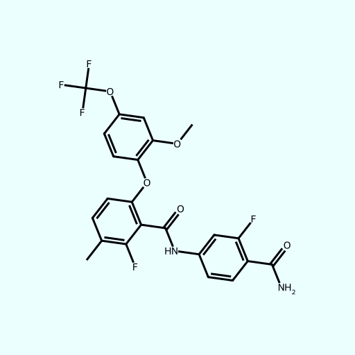 COc1cc(OC(F)(F)F)ccc1Oc1ccc(C)c(F)c1C(=O)Nc1ccc(C(N)=O)c(F)c1